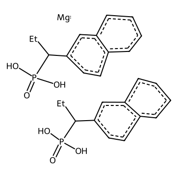 CCC(c1ccc2ccccc2c1)P(=O)(O)O.CCC(c1ccc2ccccc2c1)P(=O)(O)O.[Mg]